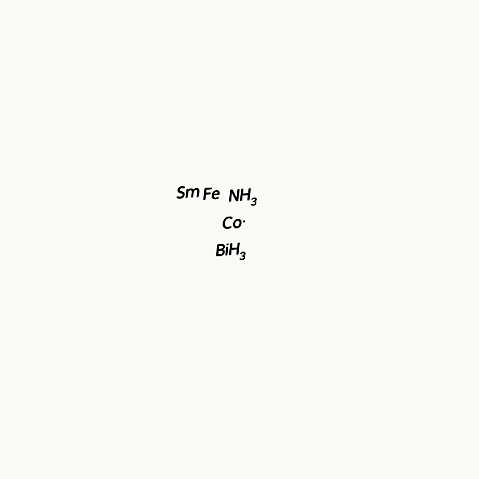 N.[BiH3].[Co].[Fe].[Sm]